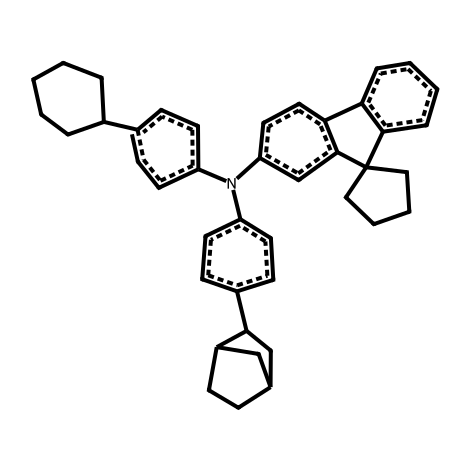 c1ccc2c(c1)-c1ccc(N(c3ccc(C4CCCCC4)cc3)c3ccc(C4CC5CCC4C5)cc3)cc1C21CCCC1